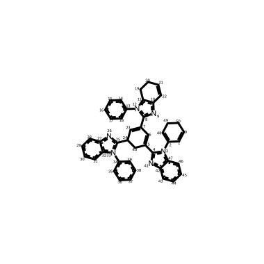 C1=CC(n2c(C3=CC(c4nc5c(n4-c4ccccc4)CCC=C5)=CC(c4nc5ccccc5n4-c4ccccc4)C3)nc3ccccc32)=CCC1